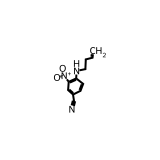 C=CCCNc1ccc(C#N)cc1[N+](=O)[O-]